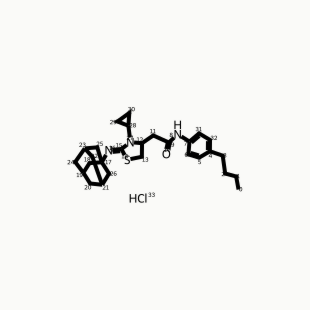 CCCCc1ccc(NC(=O)CC2CSC(=NC34CC5CC(CC(C5)C3)C4)N2C2CC2)cc1.Cl